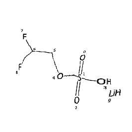 O=S(=O)(O)OCC(F)F.[LiH]